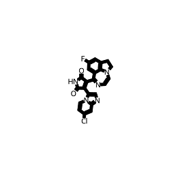 O=C1NC(=O)C(c2cnc3cc(Cl)ccn23)=C1C1=NC=CN2CCc3cc(F)cc1c32